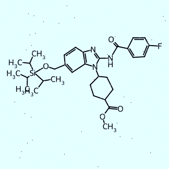 COC(=O)C1CCC(n2c(NC(=O)c3ccc(F)cc3)nc3ccc(CO[Si](C(C)C)(C(C)C)C(C)C)cc32)CC1